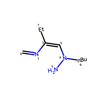 C=N/C(=C\N(N)CCCC)CC